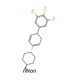 CCCCCCCCC[C@H]1CC[C@H](C2=CCC(c3cc(F)c(F)c(F)c3)C=C2)CC1